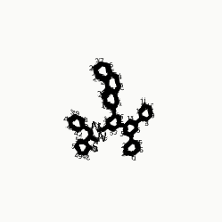 c1ccc(-c2cc(-c3ccccc3)cc(-c3cc(-c4ccc5c(ccc6ccccc65)c4)cc(-c4nc(-c5ccccc5)c5c(n4)sc4ccccc45)c3)c2)cc1